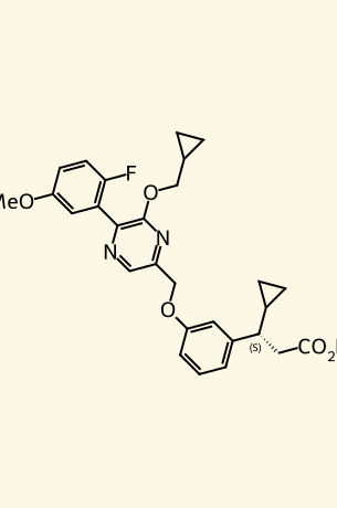 COc1ccc(F)c(-c2ncc(COc3cccc([C@@H](CC(=O)O)C4CC4)c3)nc2OCC2CC2)c1